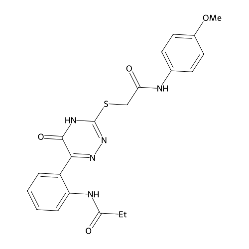 CCC(=O)Nc1ccccc1-c1nnc(SCC(=O)Nc2ccc(OC)cc2)[nH]c1=O